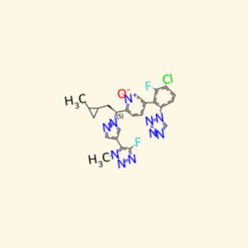 CC1CC1C[C@@H](c1ccc(-c2c(-n3cnnn3)ccc(Cl)c2F)c[n+]1[O-])n1cc(-c2c(F)nnn2C)cn1